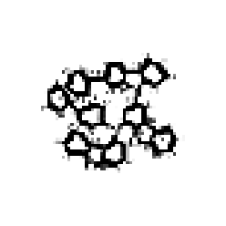 c1ccc(-c2ccc(N(c3cc(-n4c5ccccc5c5ccc(-c6ccccc6)cc54)cc4c3oc3ccccc34)c3cccc4oc5ccccc5c34)cc2)cc1